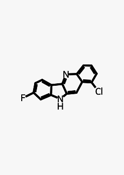 Fc1ccc2c(c1)[nH]c1cc3c(Cl)cccc3nc12